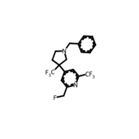 FCc1cc(C2(C(F)(F)F)CCN(Cc3ccccc3)C2)cc(C(F)(F)F)n1